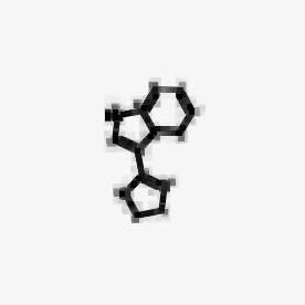 c1ccc2c(C3=NCCO3)c[nH]c2c1